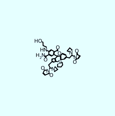 NC(=O)c1cc2c(cc1NCCCO)C(=O)OC21c2ccc(CC(N3CCC3)N3C(=O)C=CC3=O)cc2[Si]2(CCCCC2)c2cc(CC(N3CCC3)N3C(=O)C=CC3=O)ccc21